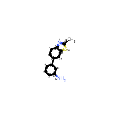 Cc1nc2ccc(-c3cccc(N)c3)cc2s1